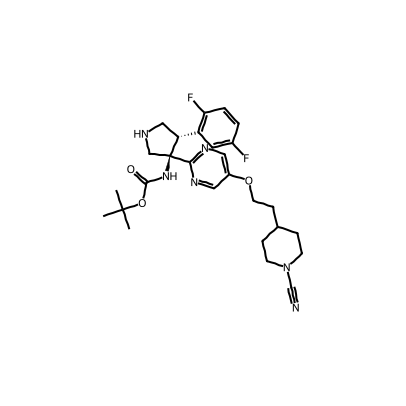 CC(C)(C)OC(=O)N[C@@]1(c2ncc(OCCC3CCN(C#N)CC3)cn2)CNC[C@@H]1c1cc(F)ccc1F